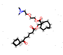 CN(C)CCOCCOC(=O)C1(COC(=O)CCCCC(=O)c2ccccc2)CC/C=C/CCC1